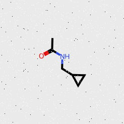 CC(=O)NC[C]1CC1